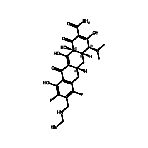 CN(C)[C@@H]1C(O)=C(C(N)=O)C(=O)[C@@]2(O)C(O)=C3C(=O)c4c(O)c(F)c(CNCC(C)(C)C)c(F)c4C[C@H]3C[C@@H]12